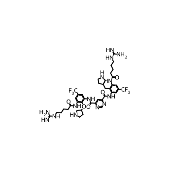 N=C(N)NCCCCC(=O)Nc1cc(C(F)(F)F)cc(NC(=O)c2cc(C(=O)Nc3cc(C(F)(F)F)cc(NC(=O)CCCCNC(=N)N)c3OC3CCNC3)ncn2)c1CC1CCNC1